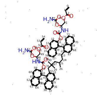 C=CC(=O)OCC(NC(=O)Oc1ccc2ccccc2c1-c1c(CCC(C)CC(C)(C)Cc2ccc3ccccc3c2-c2c(OC(=O)NC(COC(=O)C=C)OC(N)=O)ccc3ccccc23)ccc2ccccc12)OC(N)=O